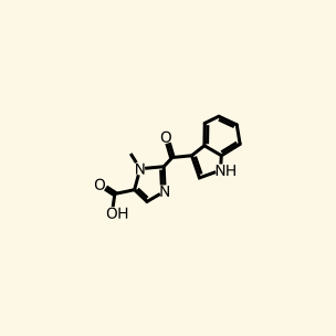 Cn1c(C(=O)O)cnc1C(=O)c1c[nH]c2ccccc12